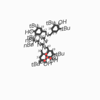 CCCCN(CCCC)c1nc(N(Cc2cc(C(C)(C)C)c(O)c(C(C)(C)C)c2)Cc2cc(C(C)(C)C)c(O)c(C(C)(C)C)c2)nc(N(Cc2cc(C(C)(C)C)c(O)c(C(C)(C)C)c2)Cc2cc(C(C)(C)C)c(O)c(C(C)(C)C)c2)n1